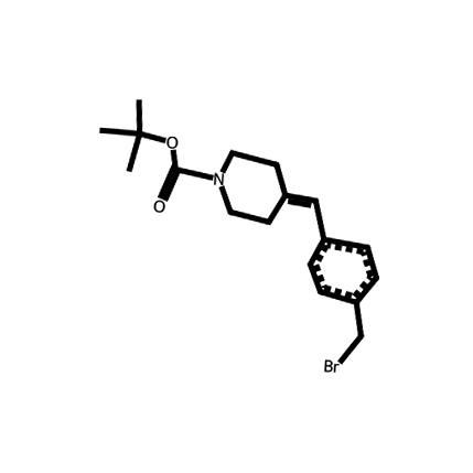 CC(C)(C)OC(=O)N1CCC(=Cc2ccc(CBr)cc2)CC1